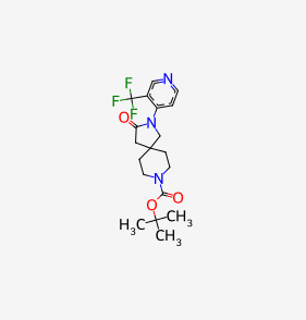 CC(C)(C)OC(=O)N1CCC2(CC1)CC(=O)N(c1ccncc1C(F)(F)F)C2